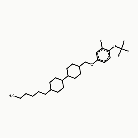 CCCCCCC1CCC(C2CCC(COc3ccc(OC(F)(F)F)c(F)c3)CC2)CC1